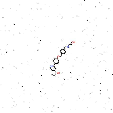 COC(=O)c1ccnc(-c2ccc(OCc3ccc(CNCCO)cc3)cc2)c1